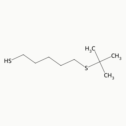 CC(C)(C)SCCCCCS